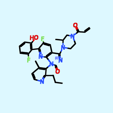 C=CC(=O)N1CCN(/C(=N/C)c2cc(F)c(-c3c(O)cccc3F)nc2N(C=O)c2c(C)ccnc2CCC)C(C)C1